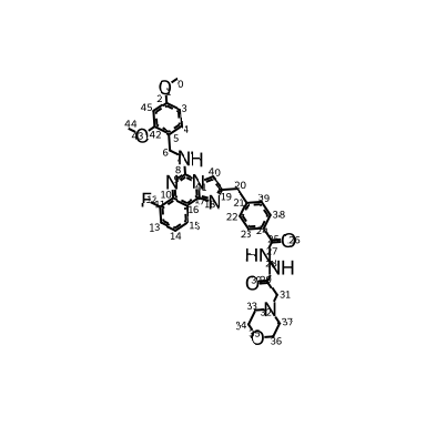 COc1ccc(CNc2nc3c(F)cccc3c3nc(Cc4ccc(C(=O)NNC(=O)CN5CCOCC5)cc4)cn23)c(OC)c1